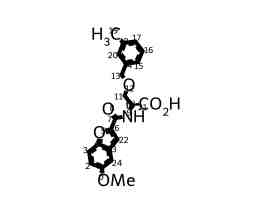 COc1ccc2oc(C(=O)N[C@@H](COCc3cccc(C)c3)C(=O)O)cc2c1